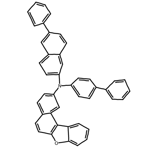 c1ccc(-c2ccc(N(c3ccc4cc(-c5ccccc5)ccc4c3)c3ccc4ccc5oc6ccccc6c5c4c3)cc2)cc1